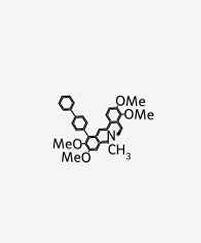 COc1cc2c(C)[n+]3ccc4c(OC)c(OC)ccc4c3cc2c(-c2ccc(-c3ccccc3)cc2)c1OC